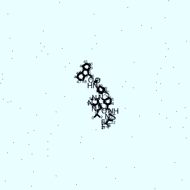 CC(C)c1ccc2c(Nc3cc(C(=O)Nc4nc(C(F)(F)F)cs4)ccc3Sc3ccc(NC(=O)OCC4c5ccccc5-c5ccccc54)cc3)ncnc2n1